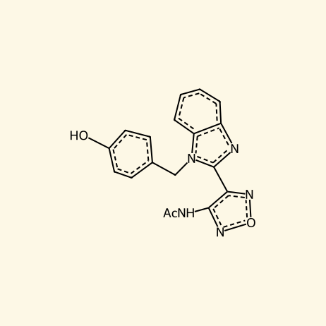 CC(=O)Nc1nonc1-c1nc2ccccc2n1Cc1ccc(O)cc1